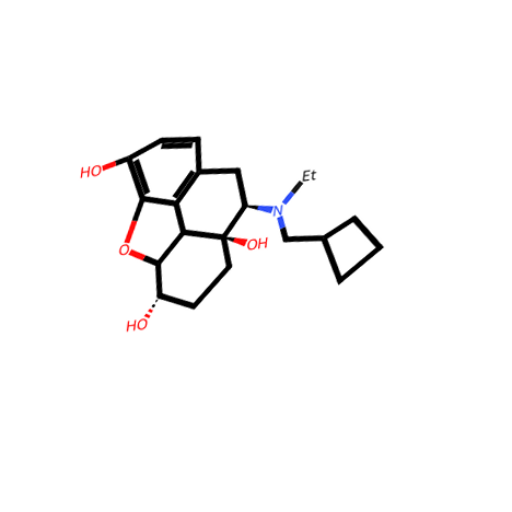 CCN(CC1CCC1)[C@@H]1Cc2ccc(O)c3c2C2C(O3)[C@@H](O)CC[C@]21O